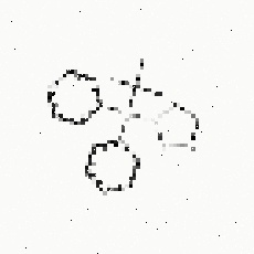 CC(C)(C)[Si](c1ccccc1)(c1ccccc1)N1CCNC1